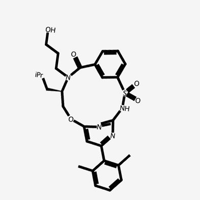 Cc1cccc(C)c1-c1cc2nc(n1)NS(=O)(=O)c1cccc(c1)C(=O)N(CCCO)[C@H](CC(C)C)CO2